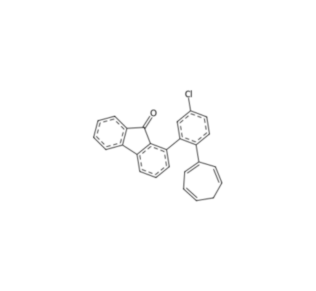 O=C1c2ccccc2-c2cccc(-c3cc(Cl)ccc3C3=CC=CCC=C3)c21